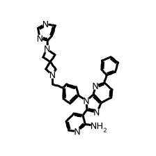 Nc1ncccc1-c1nc2ccc(-c3ccccc3)nc2n1-c1ccc(CN2CC3(C2)CN(c2ccncn2)C3)cc1